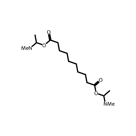 CNC(C)OC(=O)CCCCCCCCC(=O)OC(C)NC